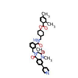 CC1=CC(C)C(C(=O)OC2CCC(CNC(=O)c3cccc(CN4C(=O)c5ccc(-c6ccncc6)cc5N(C)C(=O)[C@H]4C)c3)CC2)C=C1